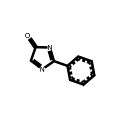 O=C1C=NC(c2c[c]ccc2)=N1